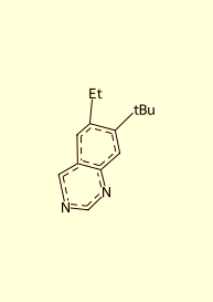 CCc1cc2cncnc2cc1C(C)(C)C